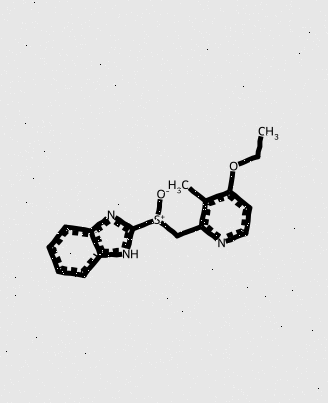 CCOc1ccnc(C[S+]([O-])c2nc3ccccc3[nH]2)c1C